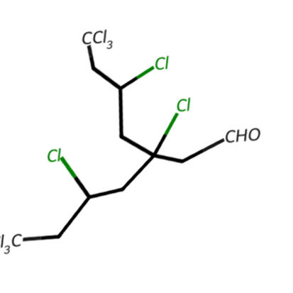 O=CCC(Cl)(CC(Cl)CC(Cl)(Cl)Cl)CC(Cl)CC(Cl)(Cl)Cl